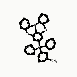 Cc1cccc([Si](c2ccccc2)(c2ccccc2)c2cc3c4c(c2)Oc2ccccc2B4c2ccccc2O3)c1